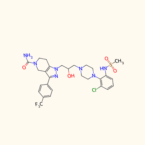 CS(=O)(=O)Nc1cccc(Cl)c1N1CCN(CC(O)Cn2nc(-c3ccc(C(F)(F)F)cc3)c3c2CCN(C(N)=O)C3)CC1